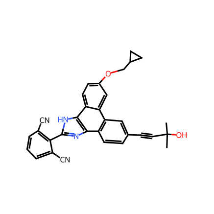 CC(C)(O)C#Cc1ccc2c(c1)c1cc(OCC3CC3)ccc1c1[nH]c(-c3c(C#N)cccc3C#N)nc21